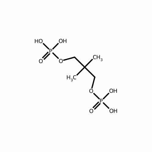 CC(C)(COP(=O)(O)O)COP(=O)(O)O